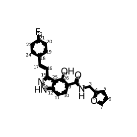 O=C(NCc1ccco1)c1ccc2[nH]nc(/C=C/c3ccc(F)cc3)c2c1O